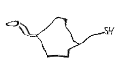 O=C1CCC(S)C1